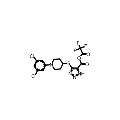 O=C(OC(=O)C(F)(F)F)c1[nH]nnc1SC1CCN(c2cc(Cl)cc(Cl)c2)CC1